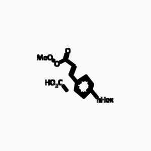 CC(=O)O.CCCCCCc1ccc(C=CC(=O)OOC)cc1